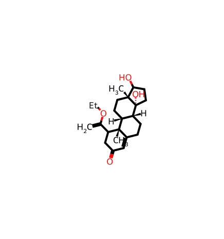 C=C(OCC)C1CC(=O)C=C2CC[C@@H]3[C@@H](CC[C@]4(C)C(O)CC[C@@]34O)[C@]21C